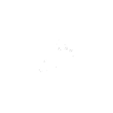 O=S(=O)(Nc1nnc(Cl)cc1-c1ccc2c(c1)OC[C@@H](Cc1ccccn1)[C@@H]2O)C(F)(F)F